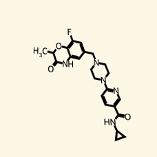 CC1Oc2c(F)cc(CN3CCN(c4ccc(C(=O)NC5CC5)cn4)CC3)cc2NC1=O